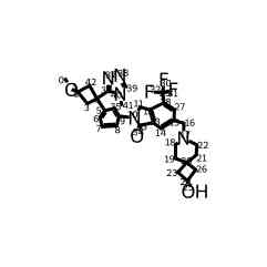 COC1CC(c2cccc(N3Cc4c(cc(CN5CCC6(CC5)CC(O)C6)cc4C(F)(F)F)C3=O)c2)(c2nncn2C)C1